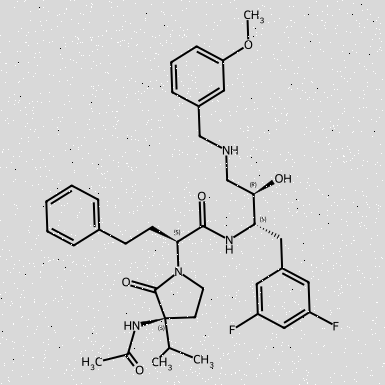 COc1cccc(CNC[C@@H](O)[C@H](Cc2cc(F)cc(F)c2)NC(=O)[C@H](CCc2ccccc2)N2CC[C@](NC(C)=O)(C(C)C)C2=O)c1